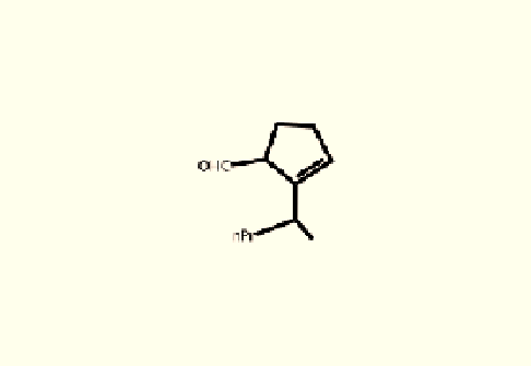 CCCC(C)C1=CCCC1C=O